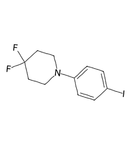 FC1(F)CCN(c2ccc(I)cc2)CC1